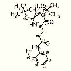 CC(C)(C)OC(=O)N[C@@H](CCC(=O)Nc1ccccc1CF)C(=O)OC(C)(C)C